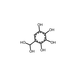 O[C](O)c1[c]c(O)c(O)c(O)c1O